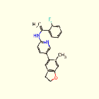 C=C(Nc1ccc(-c2cc3c(cc2C)OCC3)cn1)c1ccccc1F